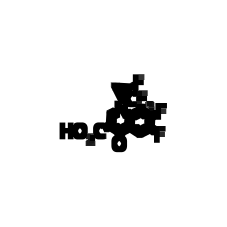 O=C(O)c1cn([C@@H]2C[C@@H]2F)c2c(C(F)(F)F)c(F)c(F)cc2c1=O